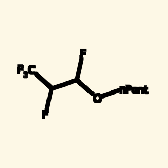 CCCCCOC(F)C(F)C(F)(F)F